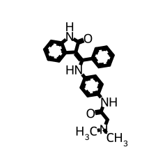 CN(C)CC(=O)Nc1ccc(NC(=C2C(=O)Nc3ccccc32)c2ccccc2)cc1